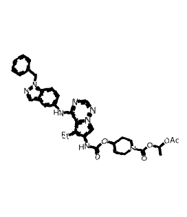 CCc1c(NC(=O)OC2CCN(C(=O)OC(C)OC(C)=O)CC2)cn2ncnc(Nc3ccc4c(cnn4Cc4ccccc4)c3)c12